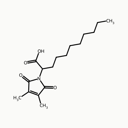 CCCCCCCCCC(C(=O)O)N1C(=O)C(C)=C(C)C1=O